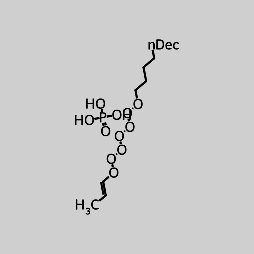 CC=COOOOOOOCCCCCCCCCCCCCC.O=P(O)(O)O